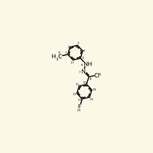 Cc1cccc(NN=C(Cl)c2ccc(F)cc2)c1